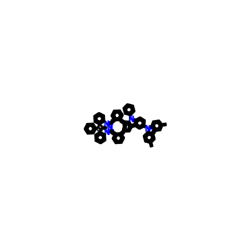 Cc1ccc2c(c1)c1cc(C)ccc1n2-c1ccc2c(c1)c1cc3cc(c4ccccc4c4nc([Si](c5ccccc5)(c5ccccc5)c5ccccc5)nc(n4)c4ccccc34)c1n2-c1ccccc1